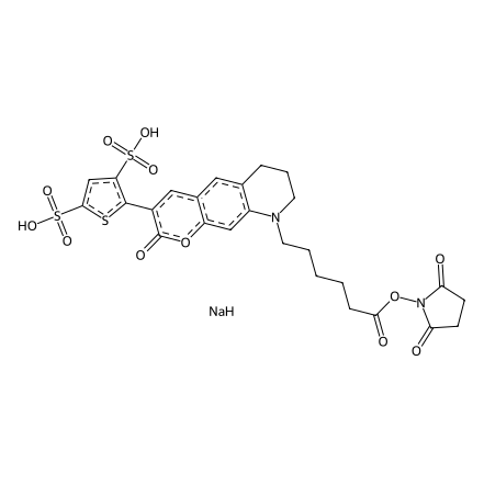 O=C(CCCCCN1CCCc2cc3cc(-c4sc(S(=O)(=O)O)cc4S(=O)(=O)O)c(=O)oc3cc21)ON1C(=O)CCC1=O.[NaH]